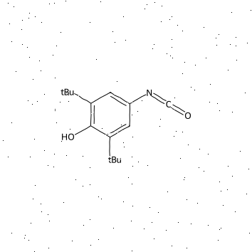 CC(C)(C)c1cc(N=C=O)cc(C(C)(C)C)c1O